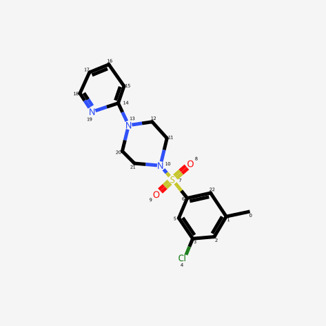 Cc1cc(Cl)cc(S(=O)(=O)N2CCN(c3ccccn3)CC2)c1